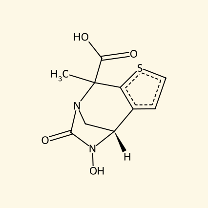 CC1(C(=O)O)c2sccc2[C@H]2CN1C(=O)N2O